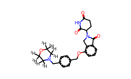 [2H]C1([2H])OC([2H])([2H])C([2H])([2H])N(Cc2ccc(COc3cccc4c3CN(C3CCC(=O)NC3=O)C4=O)cc2)C1([2H])[2H]